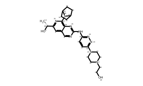 C[C@@H](O)c1cc2cnc(Nc3ccc(N4CCN(CCO)CC4)nn3)nc2c(N2C3CCC2CC3)n1